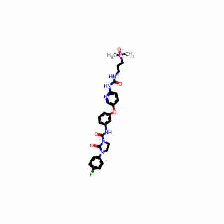 CP(C)(=O)CCCNC(=O)Nc1ccc(Oc2cccc(NC(=O)N3CCN(c4ccc(F)cc4)C3=O)c2)cn1